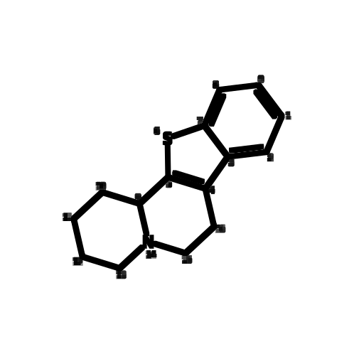 c1ccc2c3c(sc2c1)C1CCCCN1CC3